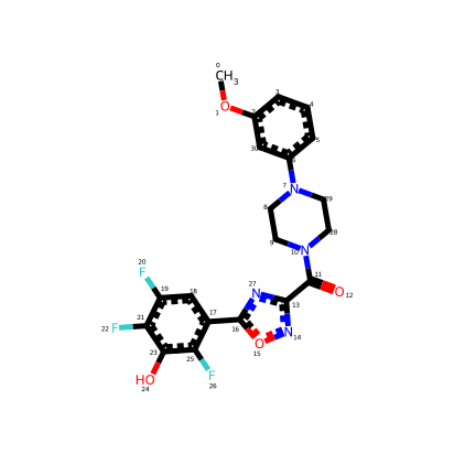 COc1cccc(N2CCN(C(=O)c3noc(-c4cc(F)c(F)c(O)c4F)n3)CC2)c1